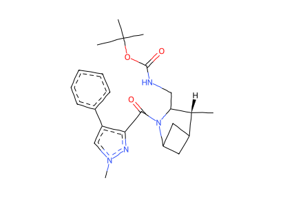 C[C@@H]1C2CC(C2)N(C(=O)c2nn(C)cc2-c2ccccc2)C1CNC(=O)OC(C)(C)C